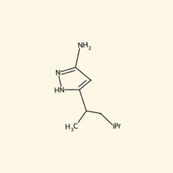 CC(C)CC(C)c1cc(N)n[nH]1